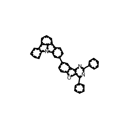 c1ccc(-c2nc(-c3ccccc3)c3oc4ccc(-c5ccc6c7cccc8c9ccccc9n(c6c5)c87)cc4c3n2)cc1